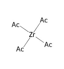 C[C](=O)[Zr]([C](C)=O)([C](C)=O)[C](C)=O